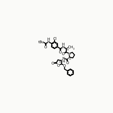 C[C@H](NC(=O)c1ccc(NC(=O)C(C)(C)C)c(Cl)c1)C(=O)N1CCC[C@H]1C(=O)N[C@H]1CC(=O)OC1OCc1ccccc1